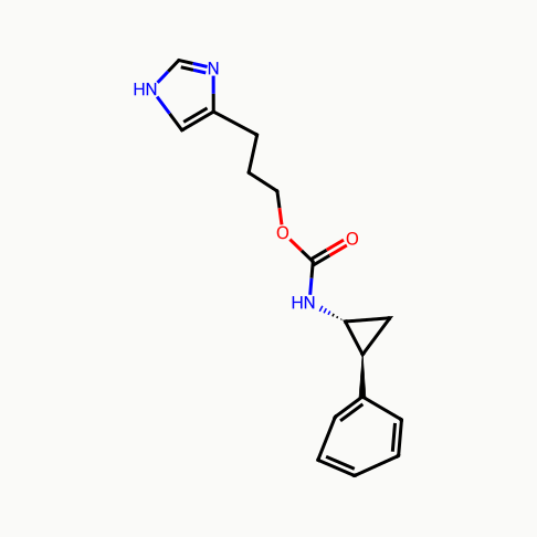 O=C(N[C@@H]1C[C@H]1c1ccccc1)OCCCc1c[nH]cn1